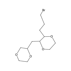 BrCCCC1OCCOC1CC1COCCO1